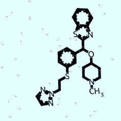 CN1CCC(OC(c2cccc(SCCn3nccn3)c2)c2nc3ccccc3s2)CC1